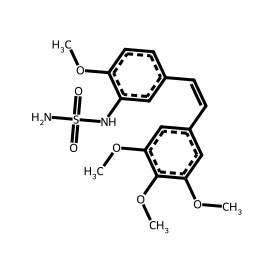 COc1ccc(/C=C\c2cc(OC)c(OC)c(OC)c2)cc1NS(N)(=O)=O